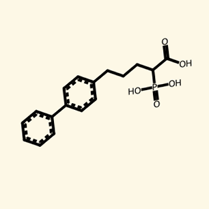 O=C(O)C(CCCc1ccc(-c2ccccc2)cc1)P(=O)(O)O